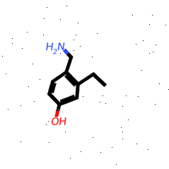 CCc1cc(O)ccc1CN